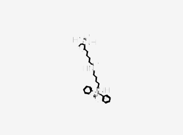 O=C(CCCCC1SCC2NC(=O)NC21)NCCCCCC(=O)NC(c1ccccc1)P(=O)(O)Oc1ccccc1